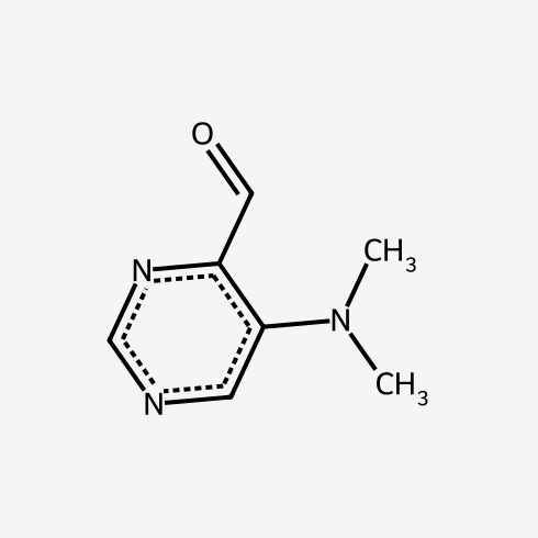 CN(C)c1cncnc1C=O